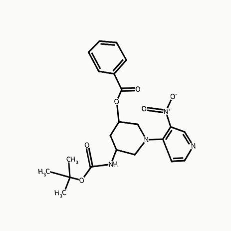 CC(C)(C)OC(=O)NC1CC(OC(=O)c2ccccc2)CN(c2ccncc2[N+](=O)[O-])C1